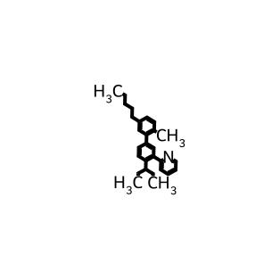 CCCCCc1ccc(C)c(-c2ccc(C(CC)CC)c(-c3ccccn3)c2)c1